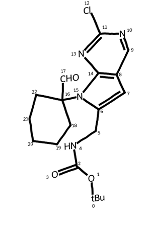 CC(C)(C)OC(=O)NCc1cc2cnc(Cl)nc2n1C1(C=O)CCCCC1